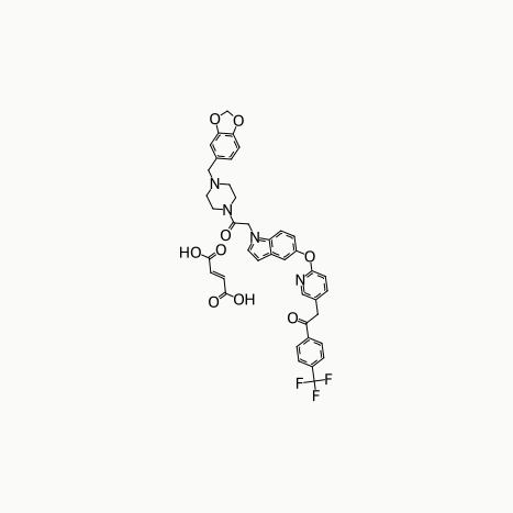 O=C(Cc1ccc(Oc2ccc3c(ccn3CC(=O)N3CCN(Cc4ccc5c(c4)OCO5)CC3)c2)nc1)c1ccc(C(F)(F)F)cc1.O=C(O)C=CC(=O)O